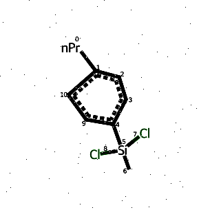 CCCc1ccc([Si](C)(Cl)Cl)cc1